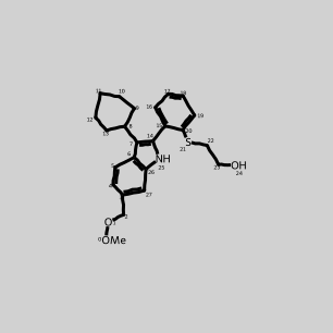 COOCc1ccc2c(C3CCCCC3)c(-c3ccccc3SCCO)[nH]c2c1